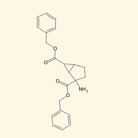 NC1(C(=O)OCc2ccccc2)CCC2C(C(=O)OCc3ccccc3)C21